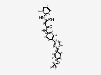 Cc1ccccc1N/C(S)=N/C(=O)Nc1ccc(-c2ncn(-c3ccc(OC(F)(F)F)cc3)n2)cc1